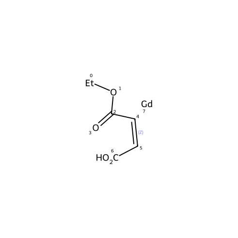 CCOC(=O)/C=C\C(=O)O.[Gd]